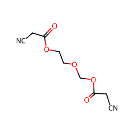 N#CCC(=O)OCCOCOC(=O)CC#N